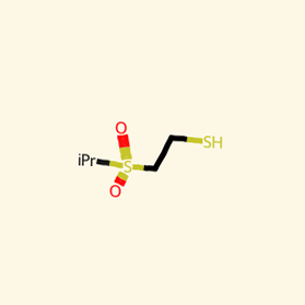 CC(C)S(=O)(=O)CCS